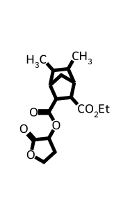 CCOC(=O)C1C2CC(C(C)C2C)C1C(=O)OC1CCOC1=O